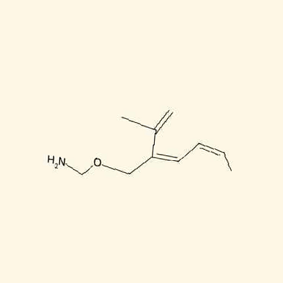 C=C(C)/C(=C\C=C/C)COCN